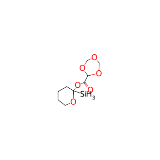 O=C(OC1([SiH3])CCCCO1)C1OCOCO1